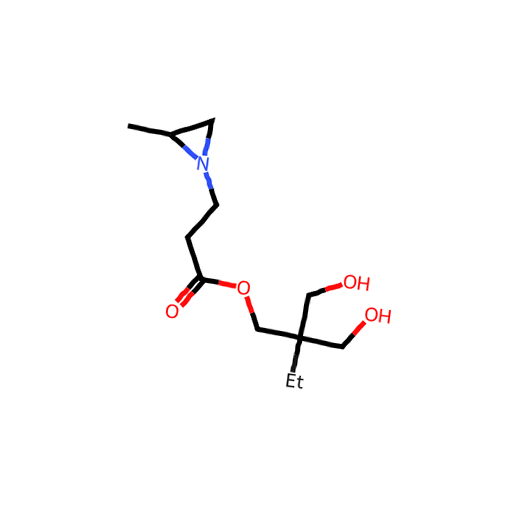 CCC(CO)(CO)COC(=O)CCN1CC1C